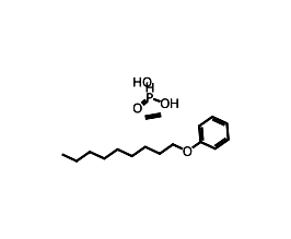 C=C.CCCCCCCCCOc1ccccc1.O=[PH](O)O